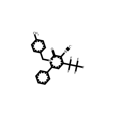 [C-]#[N+]c1c(C(F)(F)C(F)(F)F)cc(-c2ccccc2)n(Cc2ccc(C)cc2)c1=O